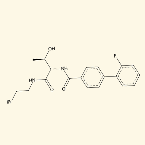 CC(C)CCNC(=O)[C@@H](NC(=O)c1ccc(-c2ccccc2F)cc1)[C@@H](C)O